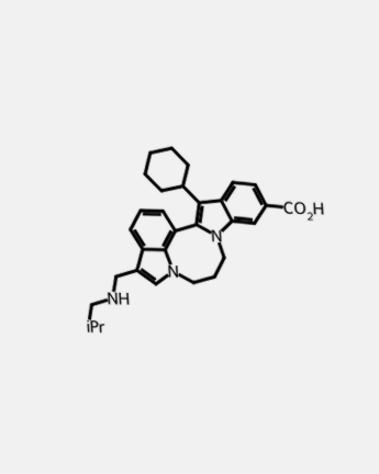 CC(C)CNCc1cn2c3c(cccc13)-c1c(C3CCCCC3)c3ccc(C(=O)O)cc3n1CCC2